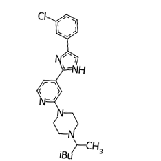 CCC(C)C(C)N1CCN(c2cc(-c3nc(-c4cccc(Cl)c4)c[nH]3)ccn2)CC1